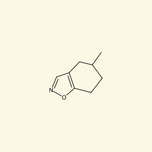 CC1CCc2oncc2C1